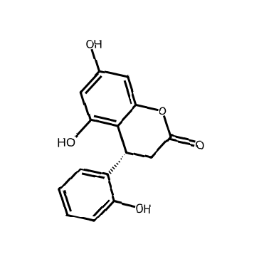 O=C1C[C@H](c2ccccc2O)c2c(O)cc(O)cc2O1